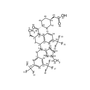 CC[C@@H]1CC(N(Cc2cc(C(F)(F)F)cc(C(F)(F)F)c2)c2nnn(C)n2)c2cc(C(F)(F)F)ccc2N1C(=O)[C@H]1CC[C@H](CC(=O)O)CC1